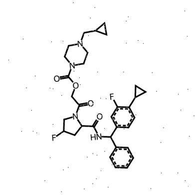 O=C(NC(c1ccccc1)c1ccc(C2CC2)c(F)c1)C1CC(F)CN1C(=O)COC(=O)N1CCN(CC2CC2)CC1